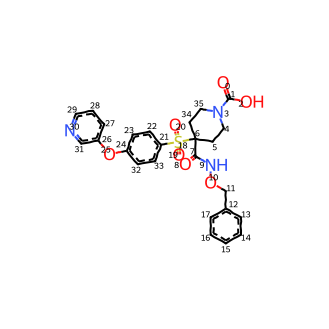 O=C(O)N1CCC(C(=O)NOCc2ccccc2)(S(=O)(=O)c2ccc(Oc3cccnc3)cc2)CC1